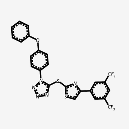 FC(F)(F)c1cc(-c2csc(Sc3nnnn3-c3ccc(Oc4ccccc4)cc3)n2)cc(C(F)(F)F)c1